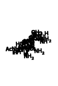 CC(=O)NC(CC(C)C)/C(Cl)=C(\CC(C)C)C(=O)NNC(CCCCN)C(=O)N[C@@H](CCCCN)C(=O)NC(Cc1ccc(O)cc1)C(=O)N[C@@H](CCCNC(=N)N)C(=O)NC(CO)C(=O)O